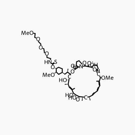 COCCOCCOCCOCCNC(=S)O[C@@H]1CC[C@@H](C[C@@H](C)[C@@H]2C[C@@H](O)[C@H](C)/C=C(\C)[C@@H](O)[C@@H](O)C(=O)[C@H](C)C[C@H](C)/C=C/C=C/C=C(\C)[C@@H](OC)C[C@@H]3CC[C@@H](C)[C@@](O)(O3)C(=O)C(=O)N3CCCC[C@H]3C(=O)O2)C[C@H]1OC